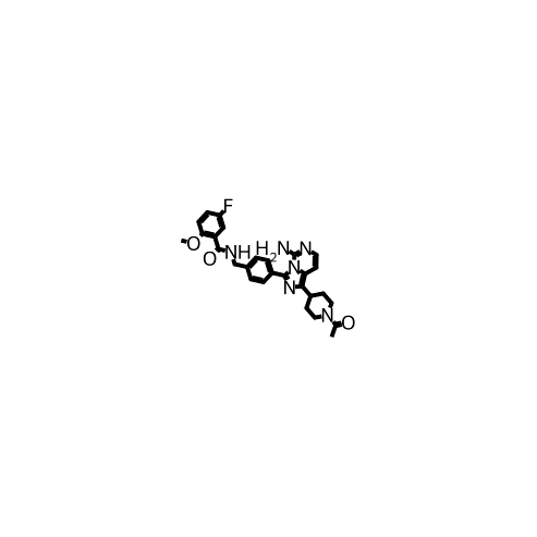 COc1ccc(F)cc1C(=O)NCc1ccc(-c2nc(C3CCN(C(C)=O)CC3)c3ccnc(N)n23)cc1